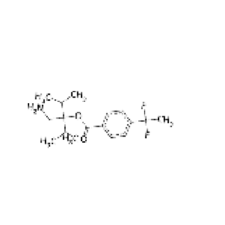 CC(C)C(CN)(OC(=O)c1ccc(C(C)(F)F)cc1)C(C)C